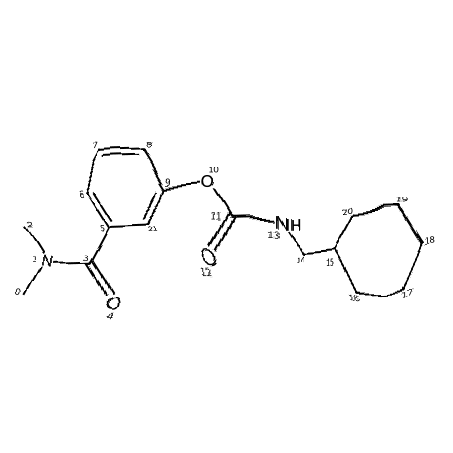 CN(C)C(=O)c1cccc(OC(=O)NCC2CCCCC2)c1